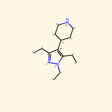 CCc1nn(CC)c(CC)c1C1CCNCC1